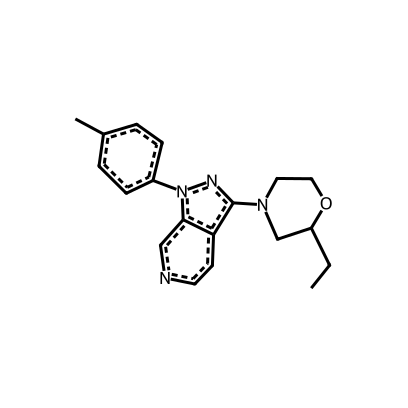 CCC1CN(c2nn(-c3ccc(C)cc3)c3cnccc23)CCO1